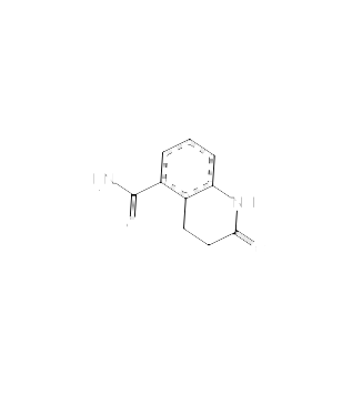 NC(=O)c1cccc2c1CCC(=O)N2